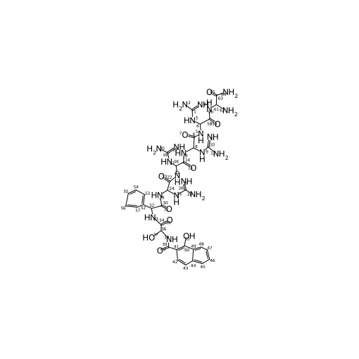 N=C(N)NC(NC(=O)C(NC(=N)N)NC(=O)C(NC(=N)N)NC(=O)C(NC(=N)N)NC(=O)C(NC(=O)C(O)NC(=O)c1ccc2ccccc2c1O)c1ccccc1)C(=O)NC(N)C(N)=O